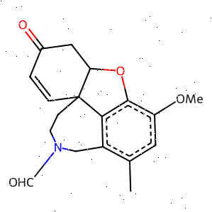 COc1cc(C)c2c3c1OC1CC(=O)C=CC31CCN(C=O)C2